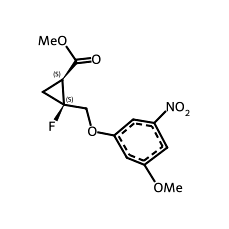 COC(=O)[C@@H]1C[C@@]1(F)COc1cc(OC)cc([N+](=O)[O-])c1